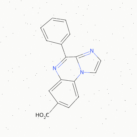 O=C(O)c1ccc2c(c1)nc(-c1ccccc1)c1nccn12